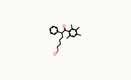 Cc1cc(C)c(C(=O)C(CCCCP=O)c2ccccc2)c(C)c1C